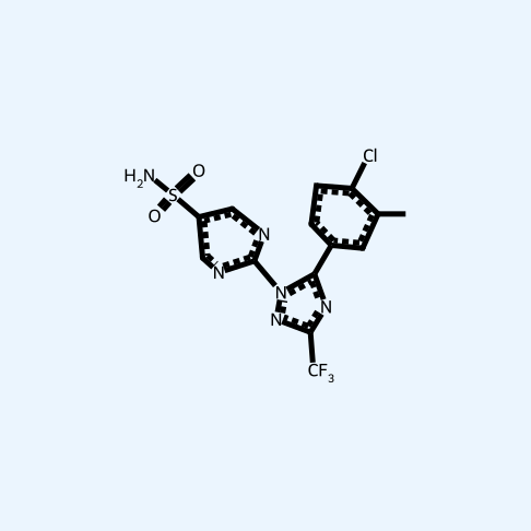 Cc1cc(-c2nc(C(F)(F)F)nn2-c2ncc(S(N)(=O)=O)cn2)ccc1Cl